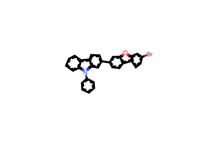 Brc1ccc2c(c1)oc1cc(-c3ccc4c5ccccc5n(-c5ccccc5)c4c3)ccc12